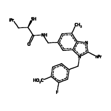 CCCc1nc2c(C)cc(CNC(=O)[C@H](S)CC(C)C)cc2n1Cc1ccc(C(=O)O)c(F)c1